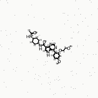 COCCOc1cc(OC)ccc1-c1ncnc2c(C(=O)N[C@H]3CC[C@@H](NC(C)=O)CC3)c[nH]c12